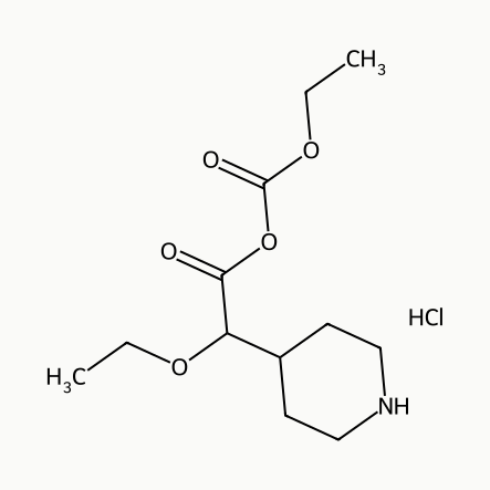 CCOC(=O)OC(=O)C(OCC)C1CCNCC1.Cl